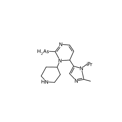 Cc1ncc(C2C=CN=C([AsH2])N2C2CCNCC2)n1C(C)C